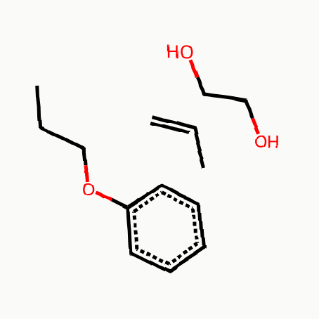 C=CC.CCCOc1ccccc1.OCCO